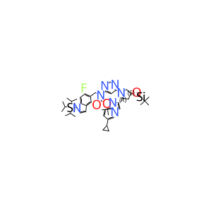 CC(C)[Si](C(C)C)(C(C)C)n1ccc2cc(CN(C(=O)OC(C)(C)C)c3cc(N4C[C@@H](O[Si](C)(C)C(C)(C)C)C[C@@H]4c4cn5cc(C6CC6)ccc5n4)ncn3)c(F)cc21